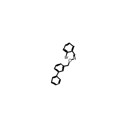 Brc1ccccc1/[C]=N\OCc1cccc(-c2ccccc2)c1